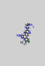 Cc1nc(-c2n[nH]cc2-c2ccc3ncc(N4CCC(N)C4)cc3n2)ccc1F